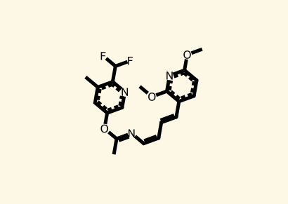 COc1ccc(/C=C/C=C\N=C(/C)Oc2cnc(C(F)F)c(C)c2)c(OC)n1